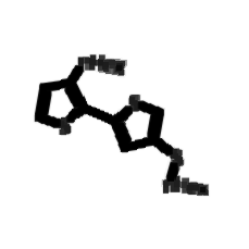 CCCCCCSc1csc(-c2sccc2CCCCCC)c1